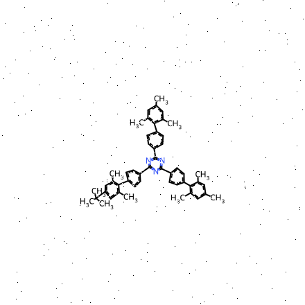 Cc1cc(C)c(-c2ccc(-c3nc(-c4ccc(-c5c(C)cc(C)cc5C)cc4)nc(-c4ccc(-c5c(C)cc(C(C)(C)C)cc5C)cc4)n3)cc2)c(C)c1